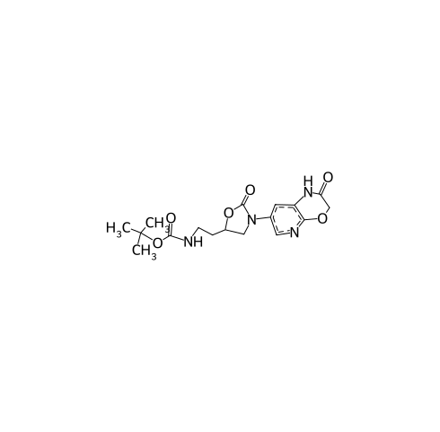 CC(C)(C)OC(=O)NCCC1CN(c2cnc3c(c2)NC(=O)CO3)C(=O)O1